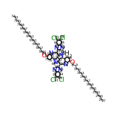 Bn1c(-c2ccc(OCCCCCCCCCCCCCCCCCCCC)cc2)c2/c(=C(\C#N)c3cnc4cc(Cl)c(Cl)cc4n3)n(C)c(-c3ccc(OCCCCCCCCCCCCCCCCCCCC)cc3)c2/c1=C(\C#N)c1cnc2cc(Cl)c(Cl)cc2n1